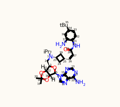 CC(C)N(C[C@H]1O[C@@H](n2cnc3c(N)ncnc32)[C@@H]2OC(C)(C)O[C@@H]21)[C@H]1C[C@@H](/C=C\C(=O)Nc2ccc(C(C)(C)C)cc2N)C1